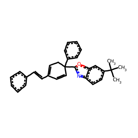 CC(C)(C)c1ccc2nc(C3(c4ccccc4)C=CC(C=Cc4ccccc4)=CC3)oc2c1